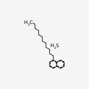 CCCCCCCCCCCCc1cccc2ccccc12.S